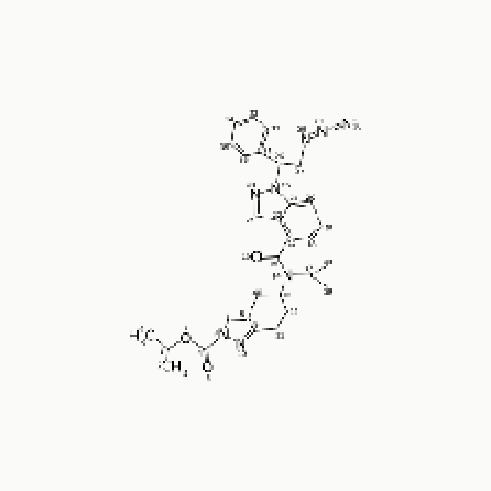 CC(C)OC(=O)n1cc2c(n1)CCC(N(C(=O)c1cccc3c1cnn3C(CN=[N+]=[N-])c1ccccc1)C1CC1)C2